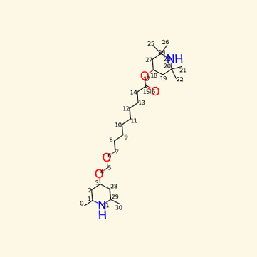 CC1CC(OCOCCCCCCCCC(=O)OC2CC(C)(C)NC(C)(C)C2)CC(C)N1